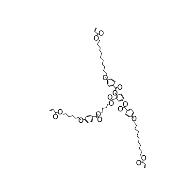 C=CC(=O)OCCCCCCCCCCCOc1ccc(C(=O)Oc2ccc(OC(=O)c3ccc(OCCCCCCCCCCCOC(=O)C=C)cc3)c(C(=O)OCCCCOC(=O)c3ccc(OCCCCCCOC(=O)C=C)cc3)c2)cc1